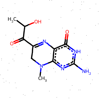 CC(O)C(=O)C1=Nc2c(nc(N)[nH]c2=O)N(C)C1